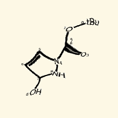 CC(C)(C)OC(=O)N1C=CC(O)N1